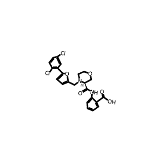 O=C(O)c1ccccc1NC(=O)[C@@H]1COCCN1Cc1ccc(-c2cc(Cl)ccc2Cl)o1